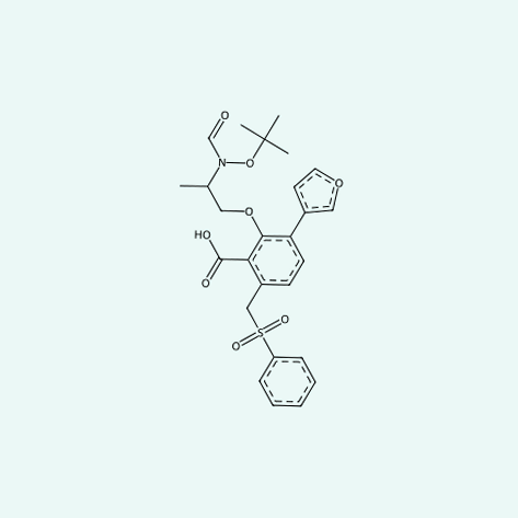 CC(COc1c(-c2ccoc2)ccc(CS(=O)(=O)c2ccccc2)c1C(=O)O)N(C=O)OC(C)(C)C